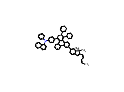 C/C=C\C=C/C1=Cc2ccc(-c3ccc4c5c(c6ccccc6c4c3)=C(c3ccc(N(c4ccccc4)c4cccc6ccccc46)cc3)CC(C3=CCCC=C3)C=5c3ccccc3)cc2C1(C)C